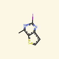 Cc1nc(I)nc2ccsc12